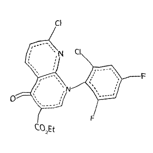 CCOC(=O)c1cn(-c2c(F)cc(F)cc2Cl)c2nc(Cl)ccc2c1=O